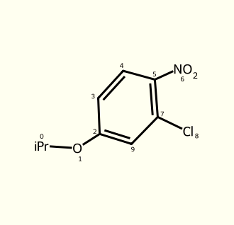 CC(C)Oc1ccc([N+](=O)[O-])c(Cl)c1